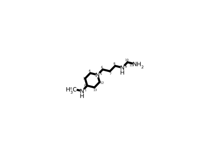 CNC1CCN(CCCNCN)CC1